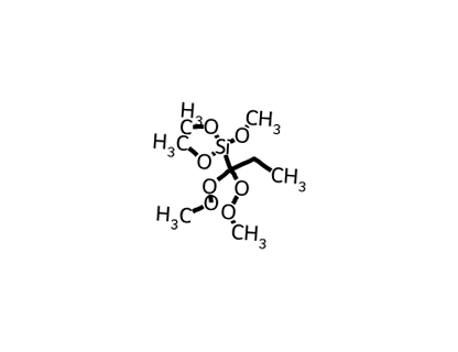 CCC(OOC)(OOC)[Si](OC)(OC)OC